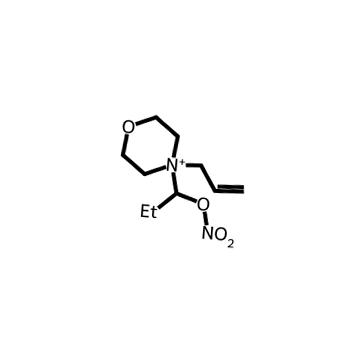 C=CC[N+]1(C(CC)O[N+](=O)[O-])CCOCC1